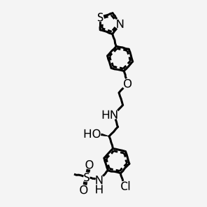 CS(=O)(=O)Nc1cc([C@@H](O)CNCCOc2ccc(-c3cscn3)cc2)ccc1Cl